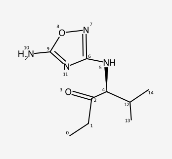 CCC(=O)[C@@H](Nc1noc(N)n1)C(C)C